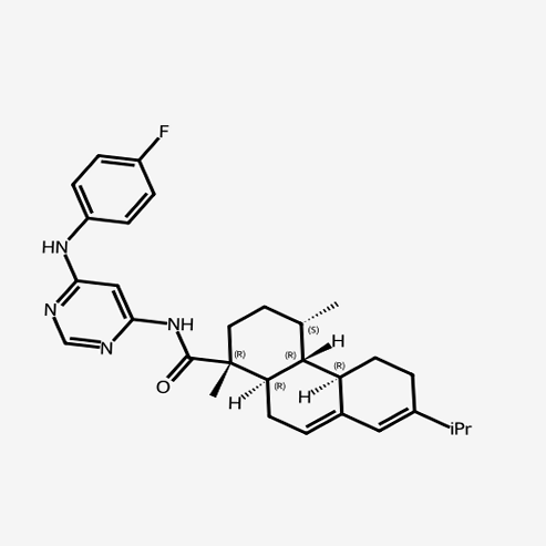 CC(C)C1=CC2=CC[C@@H]3[C@H]([C@@H](C)CC[C@@]3(C)C(=O)Nc3cc(Nc4ccc(F)cc4)ncn3)[C@H]2CC1